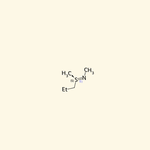 CCC/[S@@](C)=N/C